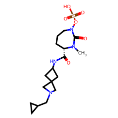 CN1C(=O)N(OS(=O)(=O)O)CCC[C@H]1C(=O)NC1CC2(C1)CN(CC1CC1)C2